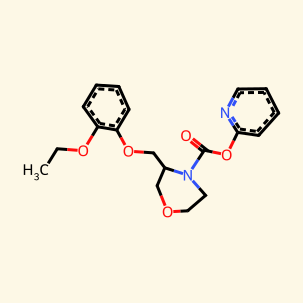 CCOc1ccccc1OCC1COCCN1C(=O)Oc1ccccn1